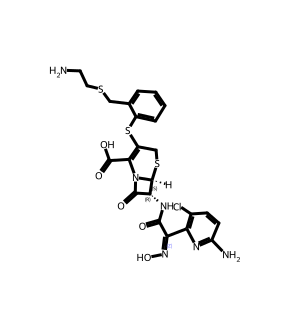 NCCSCc1ccccc1SC1=C(C(=O)O)N2C(=O)[C@@H](NC(=O)/C(=N\O)c3nc(N)ccc3Cl)[C@@H]2SC1